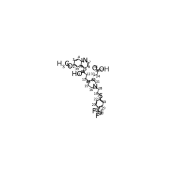 COc1ccc2nccc([C@H](O)CC[C@@H]3CCN(CCSc4ccc(C(F)(F)F)cc4)C[C@H]3CCC(=O)O)c2c1